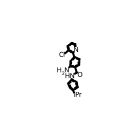 CC(C)c1ccc(NC(=O)c2ccc(-c3ncccc3Cl)cc2N)cc1